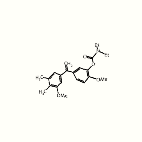 C=C(c1ccc(OC)c(OC(=O)N(CC)CC)c1)c1cc(C)c(C)c(OC)c1